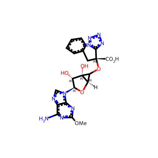 COc1nc(N)c2ncn([C@@H]3O[C@@H]4C(O[C@@](Cc5ccccc5)(C(=O)O)c5nnn[nH]5)[C@]4(O)[C@H]3O)c2n1